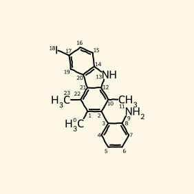 Cc1c(-c2ccccc2N)c(C)c2[nH]c3ccc(I)cc3c2c1C